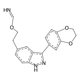 N=COCCc1ccc2[nH]nc(-c3ccc4c(c3)OCCO4)c2c1